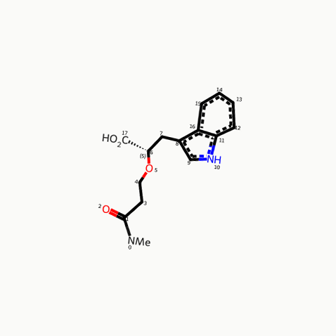 CNC(=O)CCO[C@@H](Cc1c[nH]c2ccccc12)C(=O)O